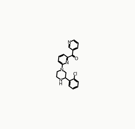 O=C(c1cccnc1)c1cccc(N2CCNC(c3ccccc3Cl)C2)n1